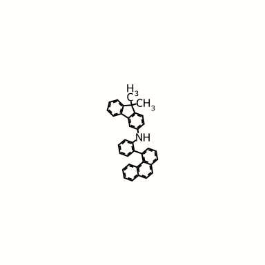 CC1(C)c2ccccc2-c2cc(Nc3ccccc3-c3cccc4ccc5ccccc5c34)ccc21